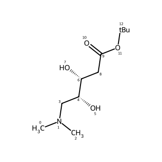 CN(C)C[C@@H](O)[C@H](O)CC(=O)OC(C)(C)C